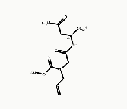 C=CCN(CC(=O)N[C@@H](CC(N)=O)C(=O)O)C(=O)OC(C)(C)C